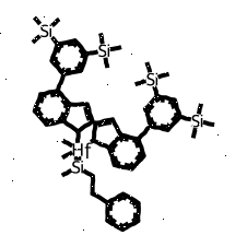 C[Si](CCc1ccccc1)=[Hf]([CH3])([CH3])([CH]1C=Cc2c(-c3cc([Si](C)(C)C)cc([Si](C)(C)C)c3)cccc21)[CH]1C=Cc2c(-c3cc([Si](C)(C)C)cc([Si](C)(C)C)c3)cccc21